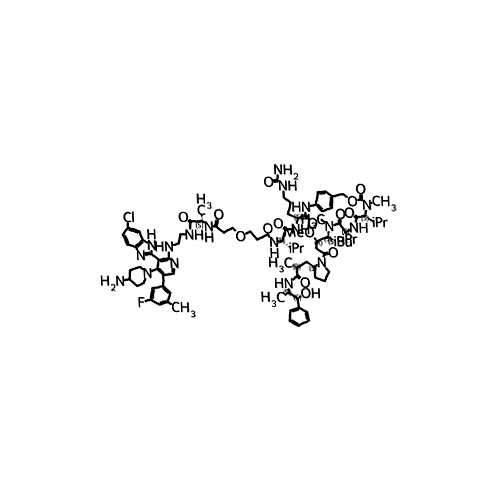 CC[C@H](C)[C@@H]([C@@H](CC(=O)N1CCC[C@H]1C[C@@H](C)C(=O)N[C@H](C)[C@@H](O)c1ccccc1)OC)N(C)C(=O)[C@@H](NC(=O)[C@H](C(C)C)N(C)C(=O)OCc1ccc(NC(=O)[C@H](CCCNC(N)=O)NC(=O)[C@@H](NC(=O)CCOCCC(=O)N[C@@H](C)C(=O)NCCNc2ncc(-c3cc(C)cc(F)c3)c(N3CCC(N)CC3)c2-c2nc3ccc(Cl)cc3[nH]2)C(C)C)cc1)C(C)C